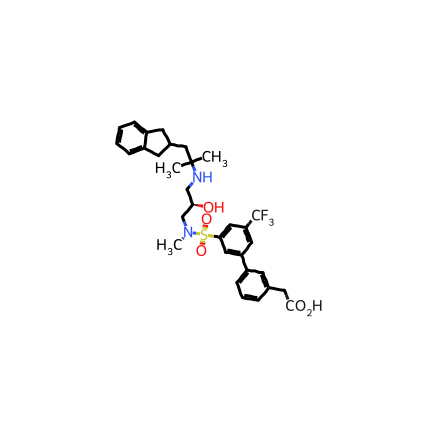 CN(C[C@H](O)CNC(C)(C)CC1Cc2ccccc2C1)S(=O)(=O)c1cc(-c2cccc(CC(=O)O)c2)cc(C(F)(F)F)c1